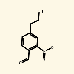 O=Cc1ccc(CCO)cc1[N+](=O)[O-]